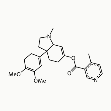 COC1=C(OC)CCC(C23CCC(OC(=O)c4cnccc4C)=CC2N(C)CC3)=C1